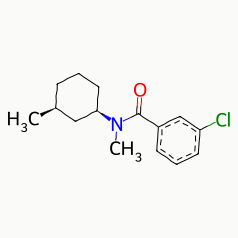 C[C@H]1CCC[C@@H](N(C)C(=O)c2cccc(Cl)c2)C1